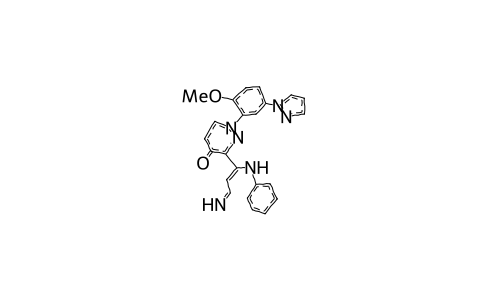 COc1ccc(-n2cccn2)cc1-n1ccc(=O)c(/C(=C/C=N)Nc2ccccc2)n1